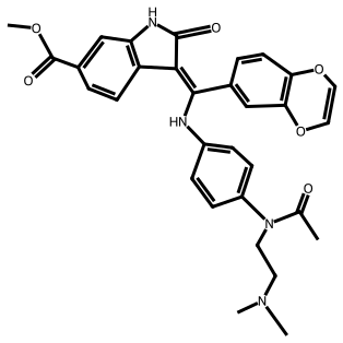 COC(=O)c1ccc2c(c1)NC(=O)C2=C(Nc1ccc(N(CCN(C)C)C(C)=O)cc1)c1ccc2c(c1)OC=CO2